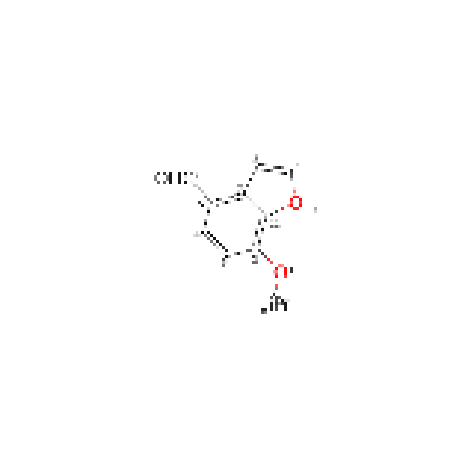 CC(C)Oc1ccc(C=O)c2ccoc12